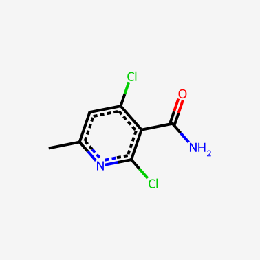 Cc1cc(Cl)c(C(N)=O)c(Cl)n1